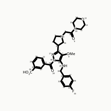 COc1c(C2CCN(CC(=O)N3CCOCC3)C2)nn(C(=O)c2cccc(C(=O)O)c2)c1NCc1ccc(F)cc1